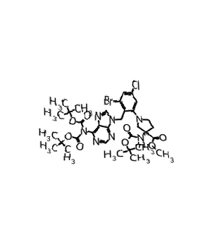 COC(=O)[C@@]1(NC(=O)OC(C)(C)C)CCN(c2cc(Cl)cc(Br)c2Cn2cnc3c(N(C(=O)OC(C)(C)C)C(=O)OC(C)(C)C)ncnc32)C1